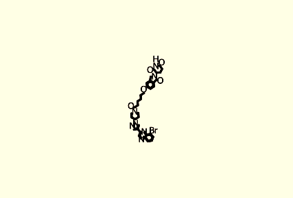 O=C1CCC(N2Cc3cc(OCCCCCC(=O)N4CCC(n5cc(-c6cnc7cccc(Br)c7n6)cn5)CC4)ccc3C2=O)C(=O)N1